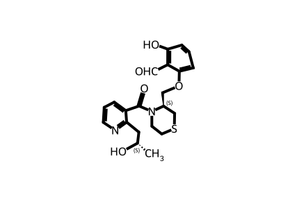 C[C@H](O)Cc1ncccc1C(=O)N1CCSC[C@@H]1COc1cccc(O)c1C=O